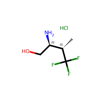 C[C@@H]([C@H](N)CO)C(F)(F)F.Cl